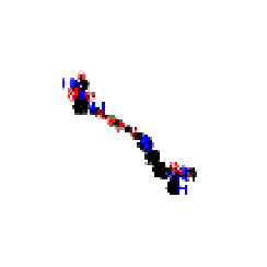 O=C1CCC(N2C(=O)c3cccc(NCCOCCOCCOCCOCCN4CCN(c5ccc(-c6ccc7c(c6)C(=O)N(C(C(=O)Nc6nccs6)c6ccccc6)C7)cc5)CC4)c3C2=O)C(=O)N1